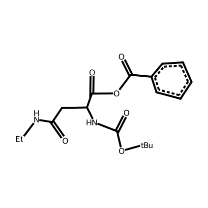 CCNC(=O)CC(NC(=O)OC(C)(C)C)C(=O)OC(=O)c1ccccc1